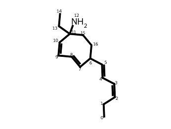 CC/C=C\C=CC1/C=C/C=CC(N)(CC)CC1